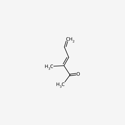 C=C/C=C(\C)C(C)=O